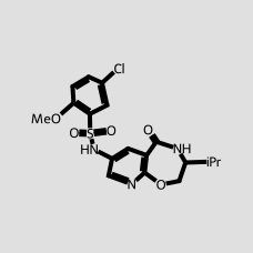 COc1ccc(Cl)cc1S(=O)(=O)Nc1cnc2c(c1)C(=O)NC(C(C)C)CO2